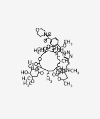 CC[C@H]1OC(=O)[C@H](C)[C@@H](O[C@H]2C[C@@](C)(OC)[C@@H](O)[C@H](C)O2)[C@H](C)[C@@H](O[C@@H]2O[C@H](C)C[C@H](N(C)CCc3cn([C@H](CF)[C@H](OC)c4ccc(S(=O)(=O)N5CCOCC5)cc4)nn3)[C@H]2O)[C@](C)(O)C[C@@H](C)CN(C)[C@H](C)[C@@H](O)C1(C)O